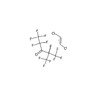 Cl/C=C/Cl.O=C(C(F)(F)C(F)(F)F)C(F)(C(F)(F)F)C(F)(F)F